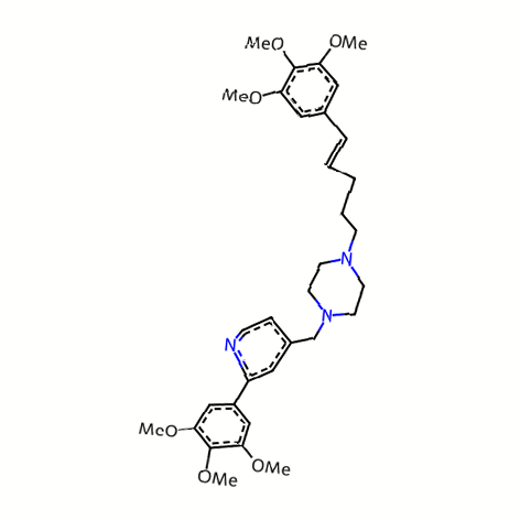 COc1cc(C=CCCCN2CCN(Cc3ccnc(-c4cc(OC)c(OC)c(OC)c4)c3)CC2)cc(OC)c1OC